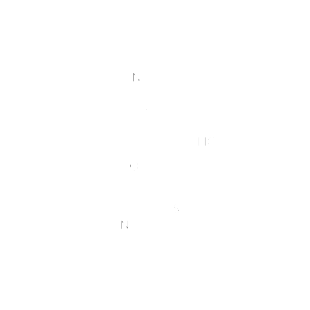 Cl.c1csc(OCC23CCCN2CCC3)n1